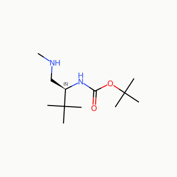 CNC[C@@H](NC(=O)OC(C)(C)C)C(C)(C)C